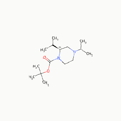 CC(C)[C@H]1CN(C(C)C)CCN1C(=O)OC(C)(C)C